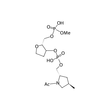 COP(=O)(O)OC[C@H]1OCCC1OP(=O)(O)OC[C@@H]1C[C@@H](C)CN1C(C)=O